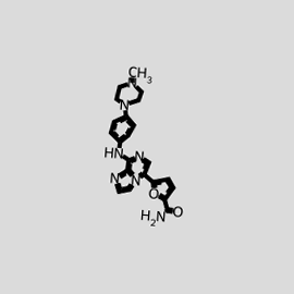 CN1CCN(c2ccc(Nc3ncc(-c4ccc(C(N)=O)o4)n4ccnc34)cc2)CC1